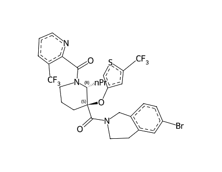 CCC[C@H]1N(C(=O)c2ncccc2C(F)(F)F)CCC[C@@]1(Oc1csc(C(F)(F)F)c1)C(=O)N1CCc2cc(Br)ccc2C1